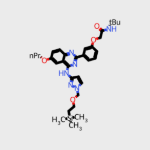 CCCOc1ccc2nc(-c3cccc(OCC(=O)NC(C)(C)C)c3)nc(Nc3ccn(COCC[Si](C)(C)C)n3)c2c1